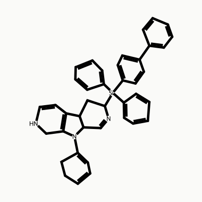 C1=CCCC(N2C3=C(C=CNC3)C3CC([Si](c4ccccc4)(c4ccccc4)c4ccc(-c5ccccc5)cc4)N=CC32)=C1